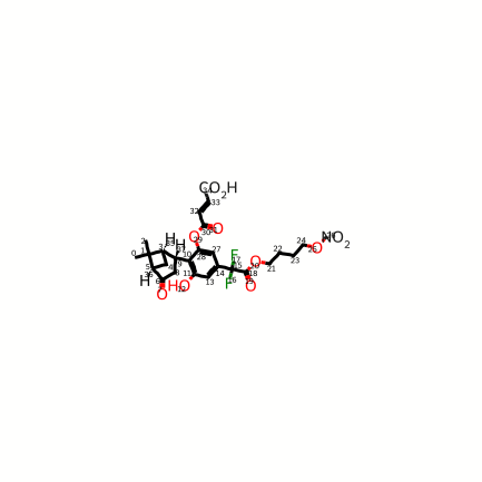 CC1(C)[C@@H]2C[C@H]1C(=O)C[C@H]2c1c(O)cc(C(F)(F)C(=O)OCCCCO[N+](=O)[O-])cc1OC(=O)C=CC(=O)O